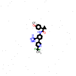 CC(F)(F)c1ccc(-c2ccc(NC(=O)C3(c4ccc(OC(F)(F)F)cc4)CC3)cc2-c2nnn[nH]2)cn1